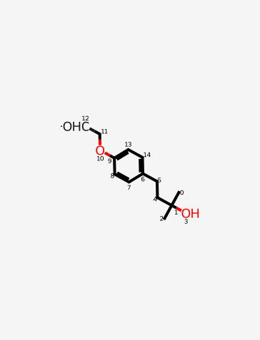 CC(C)(O)CCc1ccc(OC[C]=O)cc1